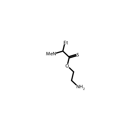 CCC(NC)C(=S)OCCN